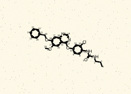 CCCNC(=O)Nc1ccc(Oc2ncnc3cc(OCc4ccccc4)c(OC)cc23)cc1Cl